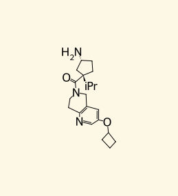 CC(C)[C@]1(C(=O)N2CCc3ncc(OC4CCC4)cc3C2)CC[C@@H](N)C1